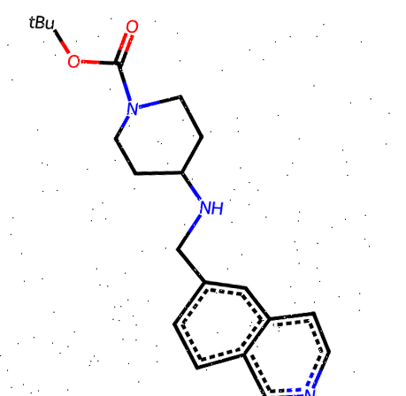 CC(C)(C)OC(=O)N1CCC(NCc2ccc3cnccc3c2)CC1